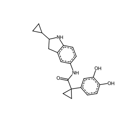 O=C(Nc1ccc2c(c1)CC(C1CC1)N2)C1(c2ccc(O)c(O)c2)CC1